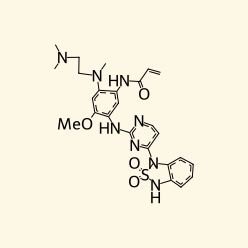 C=CC(=O)Nc1cc(Nc2nccc(N3c4ccccc4NS3(=O)=O)n2)c(OC)cc1N(C)CCN(C)C